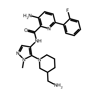 Cn1ncc(NC(=O)c2nc(-c3ccccc3F)ccc2N)c1N1CCCC(CN)C1